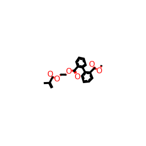 C=C(C)C(=O)OCCOC(=O)c1ccccc1-c1ccccc1C(=O)OC